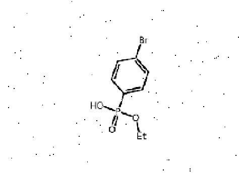 CCOP(=O)(O)c1ccc(Br)cc1